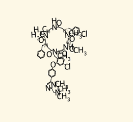 COC[C@@H]1NC(=O)[C@@H](C)N(Cc2ccc(Cl)cc2Oc2ccc(-c3cnc(CN(C)C)n3C)cc2)C(=O)C[C@@H](Cc2ccccc2)C(=O)N(C)[C@@H](C)CNC(=O)C[C@H](Cc2ccc(Cl)cc2)N(C)C1=O